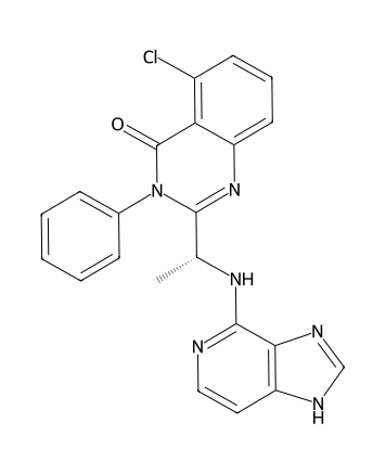 C[C@@H](Nc1nccc2[nH]cnc12)c1nc2cccc(Cl)c2c(=O)n1-c1ccccc1